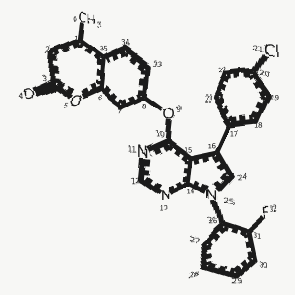 Cc1cc(=O)oc2cc(Oc3ncnc4c3c(-c3ccc(Cl)cc3)cn4-c3ccccc3F)ccc12